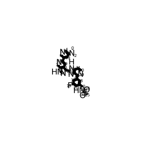 CN(C)c1cncc(-c2cc3c(-c4nc5c(-c6cc(F)cc(CNS(C)(=O)=O)c6)nccc5[nH]4)n[nH]c3cn2)c1